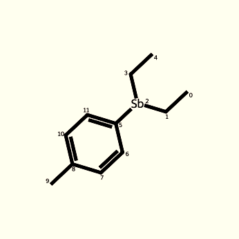 C[CH2][Sb]([CH2]C)[c]1ccc(C)cc1